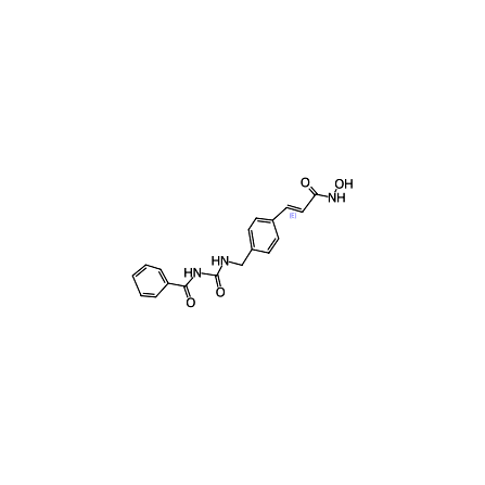 O=C(/C=C/c1ccc(CNC(=O)NC(=O)c2ccccc2)cc1)NO